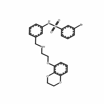 O=S(=O)(Nc1cccc(CNCCOc2cccc3c2OCCO3)c1)c1cccc(Br)c1